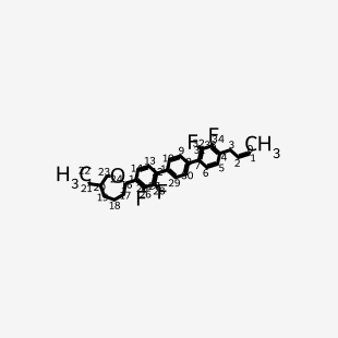 C/C=C\Cc1ccc(-c2ccc(-c3ccc(C4CCCC(CC)CO4)c(F)c3F)cc2)c(F)c1F